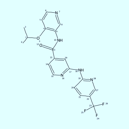 CC(C)Oc1ccncc1NC(=O)c1ccnc(Nc2ccc(C(F)(F)F)cn2)c1